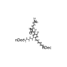 CCCCCCCCCCCCCCCCC(=CC(C)C(C)C(C)C(=O)N(C)CCCCN(C)C)CCCCCCCCCCCCCCCC